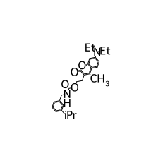 CCN(CC)c1ccc2c(C)c(CCOC(=O)NCc3cccc(C(C)C)c3)c(=O)oc2c1